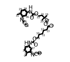 Cc1ccc(NC(=O)OCCCCCC(=O)OOC(C)(C)CCOC(=O)Nc2ccc(C)c(N=C=O)c2)cc1N=C=O